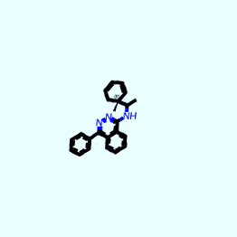 CC(Nc1nnc(-c2ccccc2)c2ccccc12)[C@@]1(C)C=CC=CC1